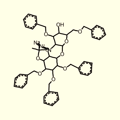 CC1(C)OC2C(OCc3ccccc3)C(OCc3ccccc3)C(OCc3ccccc3)C(OC3OC(COCc4ccccc4)C(O)C(OCc4ccccc4)C3N=[N+]=[N-])C2O1